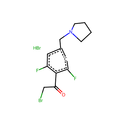 Br.O=C(CBr)c1c(F)cc(CN2CCCC2)cc1F